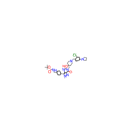 Cn1nc2c(=O)n(CC3(O)CCN(Cc4ccc(N5CCCC5)cc4Cl)CC3)cnc2c1-c1ccc(CNC(=O)OC(C)(C)C)cc1